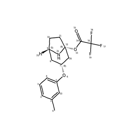 Cc1cccc(O[C@@H]2C[C@@H]3CC[C@@](OC(=O)C(F)(F)F)(C2)N3)c1